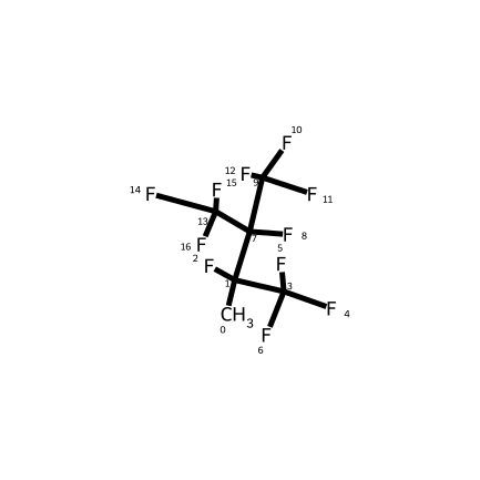 CC(F)(C(F)(F)F)C(F)(C(F)(F)F)C(F)(F)F